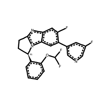 Fc1cncc(-c2cc3c(cc2F)nc2n3[C@@H](c3ccccc3OC(F)F)CC2)c1